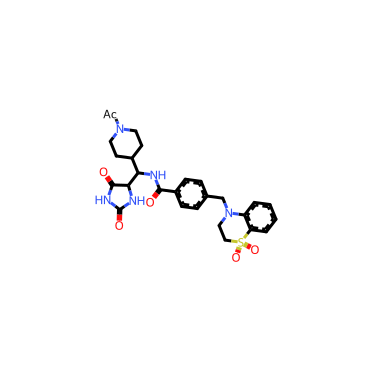 CC(=O)N1CCC(C(NC(=O)c2ccc(CN3CCS(=O)(=O)c4ccccc43)cc2)C2NC(=O)NC2=O)CC1